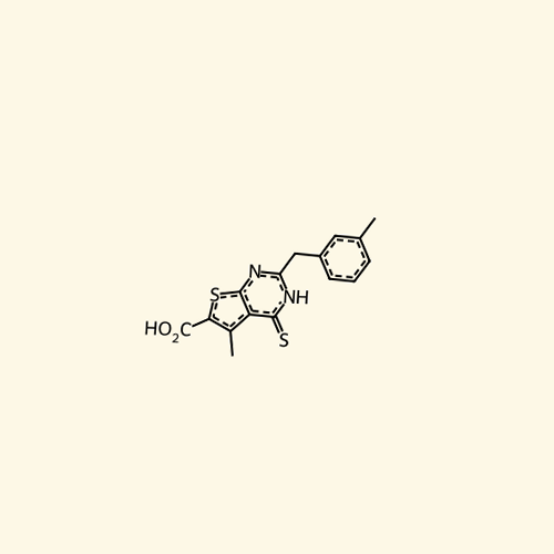 Cc1cccc(Cc2nc3sc(C(=O)O)c(C)c3c(=S)[nH]2)c1